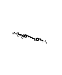 C=CCOc1ccc(OCCCCCCCc2ccc(C(=O)NCCC(=O)OC)cc2)cc1